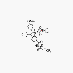 COc1ccc(-c2c(C3CCCCC3)c3ccc(C(=O)NS(=O)(=O)CCC(F)(F)F)cc3n2CC2(C(=O)N3C4CCC3CN(C)C4)CC2)cc1